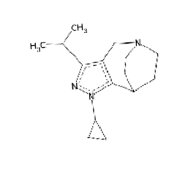 CC(C)c1nn(C2CC2)c2c1CN1CCC2CC1